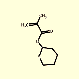 C=C(C)C(=O)OC1CCCCS1